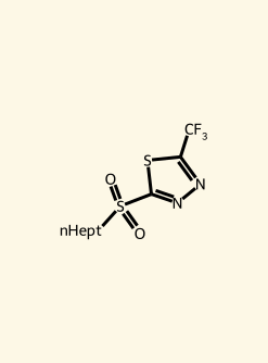 CCCCCCCS(=O)(=O)c1nnc(C(F)(F)F)s1